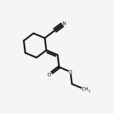 CCOC(=O)C=C1CCCCC1C#N